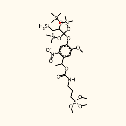 COc1cc(C(C)OC(=O)NCCC[Si](OC)(OC)OC)c([N+](=O)[O-])cc1OC(O[Si](C)(C)C)(O[Si](C)(C)C)C(C[SiH3])O[Si](C)(C)C